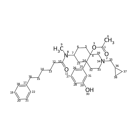 CC(=O)OC12CCC(N(C)C(=O)CCCCCc3ccccc3)CC1(c1cccc(O)c1)CCN(CC1CC1)C2